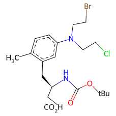 Cc1ccc(N(CCCl)CCBr)cc1C[C@H](CC(=O)O)NC(=O)OC(C)(C)C